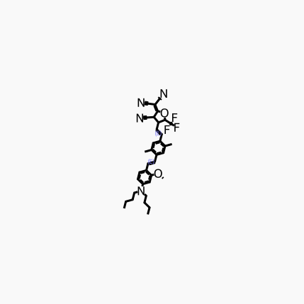 CCCCN(CCCC)c1ccc(/C=C/c2cc(C)c(/C=C/C3C(C#N)C(=C(C#N)C#N)OC3C(F)(F)F)cc2C)c(OC)c1